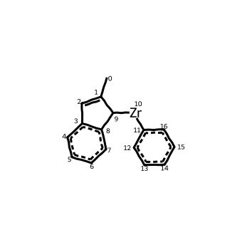 CC1=Cc2ccccc2[CH]1[Zr][c]1ccccc1